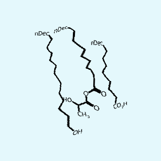 CCCCCCCCCCCCCCCCCC(=O)O.CCCCCCCCCCCCCCCCCC(=O)OC(=O)C(C)O.CCCCCCCCCCCCCCCCCCCCCCO